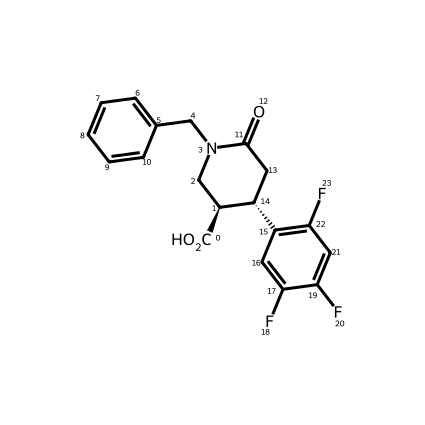 O=C(O)[C@H]1CN(Cc2ccccc2)C(=O)C[C@@H]1c1cc(F)c(F)cc1F